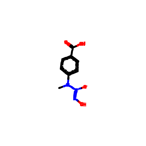 CN(c1ccc(C(=O)O)cc1)/[N+]([O-])=N/O